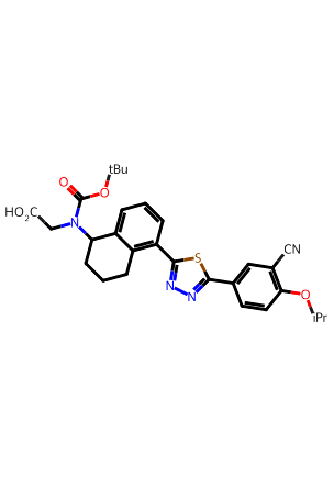 CC(C)Oc1ccc(-c2nnc(-c3cccc4c3CCCC4N(CC(=O)O)C(=O)OC(C)(C)C)s2)cc1C#N